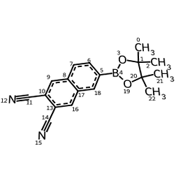 CC1(C)OB(c2ccc3cc(C#N)c(C#N)cc3c2)OC1(C)C